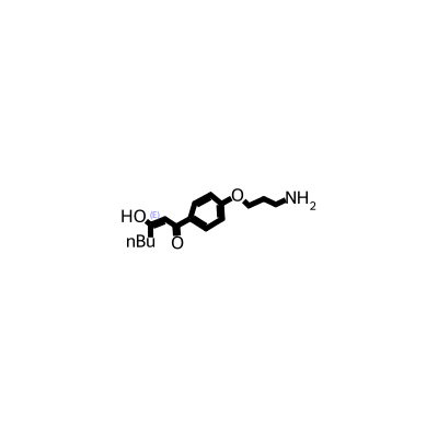 CCCC/C(O)=C\C(=O)c1ccc(OCCCN)cc1